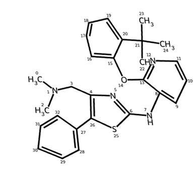 CN(C)Cc1nc(Nc2cccnc2Oc2ccccc2C(C)(C)C)sc1-c1ccccc1